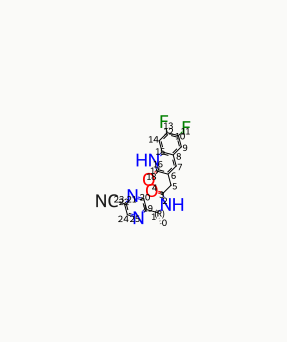 C[C@@H](NC(=O)Cc1cc2cc(F)c(F)cc2[nH]c1=O)c1cnc(C#N)cn1